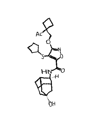 CC(=O)C1(COc2noc(C(=O)N[C@H]3C4CC5CC3C[C@](O)(C5)C4)c2SC2CCCC2)CCC1